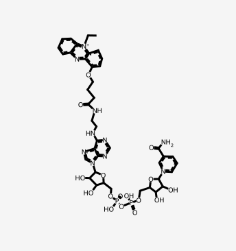 CC[n+]1c2ccccc2nc2c(OCCCC(=O)NCCNc3ncnc4c3ncn4C3OC(COP(=O)(O)OP(=O)(O)OCC4OC([n+]5cccc(C(N)=O)c5)C(O)C4O)C(O)C3O)cccc21